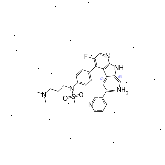 C=C(/C=c1\c(=C/N)[nH]c2ncc(F)c(-c3ccc(N(CCCN(C)C)S(C)(=O)=O)cc3)c12)c1cccnc1